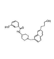 COc1cccc(C(=O)NC2CCN(Cc3ccc4ccc(CCCO)cc4c3)CC2)c1